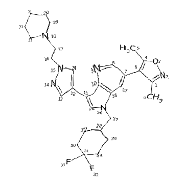 Cc1noc(C)c1-c1cnc2c(-c3cnn(CCN4CCCCC4)c3)cn(CC3CCC(F)(F)CC3)c2c1